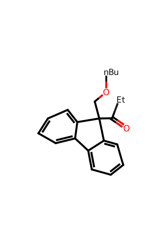 CCCCOCC1(C(=O)CC)c2ccccc2-c2ccccc21